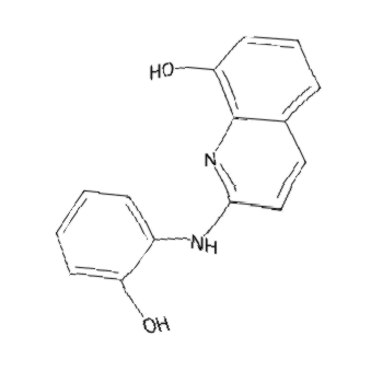 Oc1ccccc1Nc1ccc2cccc(O)c2n1